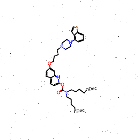 CCCCCCCCCCCCCCN(CCCCCCCCCCCCCC)C(=O)Oc1ccc2ccc(OCCCCN3CCN(c4cccc5sccc45)CC3)cc2n1